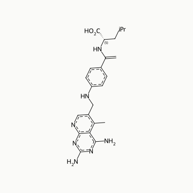 C=C(N[C@@H](CC(C)C)C(=O)O)c1ccc(NCc2cnc3nc(N)nc(N)c3c2C)cc1